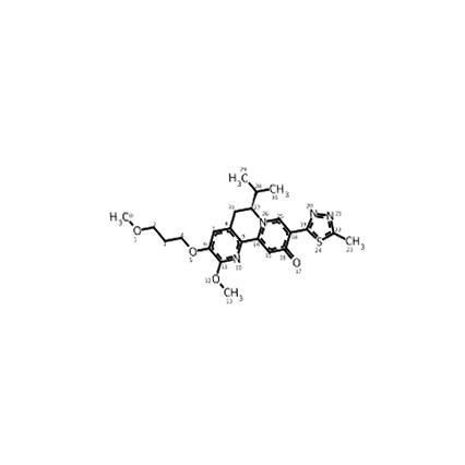 COCCCOc1cc2c(nc1OC)-c1cc(=O)c(-c3nnc(C)s3)cn1[C@H](C(C)C)C2